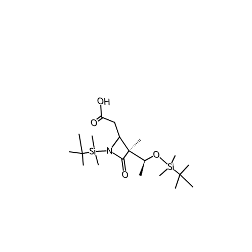 C[C@H](O[Si](C)(C)C(C)(C)C)[C@@]1(C)C(=O)N([Si](C)(C)C(C)(C)C)C1CC(=O)O